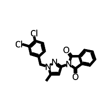 Cc1cc(N2C(=O)c3ccccc3C2=O)nn1Cc1ccc(Cl)c(Cl)c1